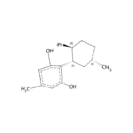 Cc1cc(O)c([C@H]2C[C@@H](C)CC[C@@H]2C(C)C)c(O)c1